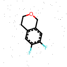 Fc1cc2c(cc1F)COC[CH]2